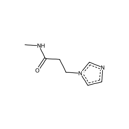 CNC(=O)CCn1ccnc1